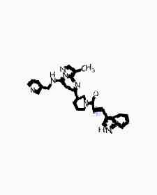 Cc1cnn2c(NCc3cccnc3)cc(C3CCCN(C(=O)/C=C/c4c[nH]c5ccccc45)C3)nc12